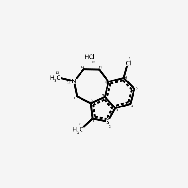 Cc1sc2ccc(Cl)c3c2c1CN(C)CC3.Cl